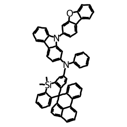 C[Si]1(C)c2ccccc2C2(c3ccccc3-c3cccc4cccc2c34)c2ccc(N(c3ccccc3)c3ccc4c5ccccc5n(-c5ccc6c(c5)oc5ccccc56)c4c3)cc21